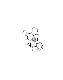 CCCc1cccc(C)c1NC(=O)N(C)C(C)c1ccccc1